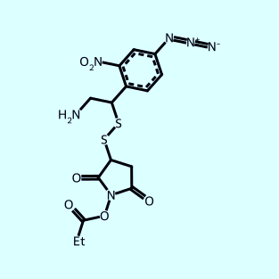 CCC(=O)ON1C(=O)CC(SSC(CN)c2ccc(N=[N+]=[N-])cc2[N+](=O)[O-])C1=O